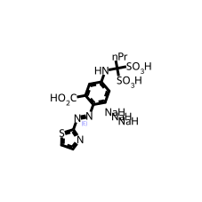 CCCC(Nc1ccc(/N=N/c2nccs2)c(C(=O)O)c1)(S(=O)(=O)O)S(=O)(=O)O.[NaH].[NaH].[NaH]